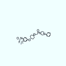 O=C(COC1CCC(Oc2ccc([N+](=O)[O-])c(C(F)(F)F)c2)CC1)N1CCN(c2ccccc2)CC1